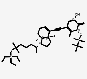 C=C1[C@H](O[Si](C)(C)C(C)(C)C)C(C)=C(C#CC2=CCC[C@]3(C)[C@@H](C(C)CCCC(C)(C)O[Si](CC)(CC)CC)CC[C@@H]23)C[C@H]1O